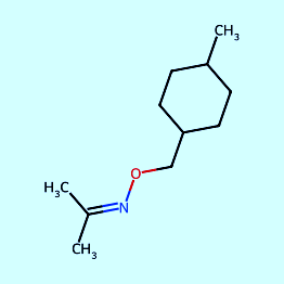 CC(C)=NOCC1CCC(C)CC1